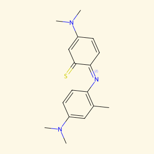 Cc1cc(N(C)C)ccc1/N=C1/C=CC(N(C)C)=CC1=S